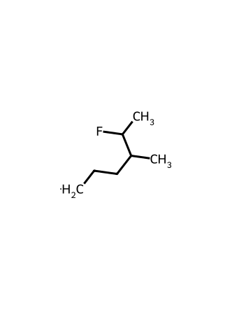 [CH2]CCC(C)C(C)F